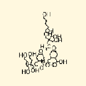 CC1CC2OC2CC1C(=O)O.CC1CC2OC2CC1C(=O)O.CCC(CO)(CO)CO.OCC=CCO.OCC=CCO.OCC=CCO